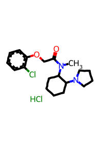 CN(C(=O)COc1ccccc1Cl)C1CCCCC1N1CCCC1.Cl